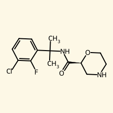 CC(C)(NC(=O)[C@@H]1CNCCO1)c1cccc(Cl)c1F